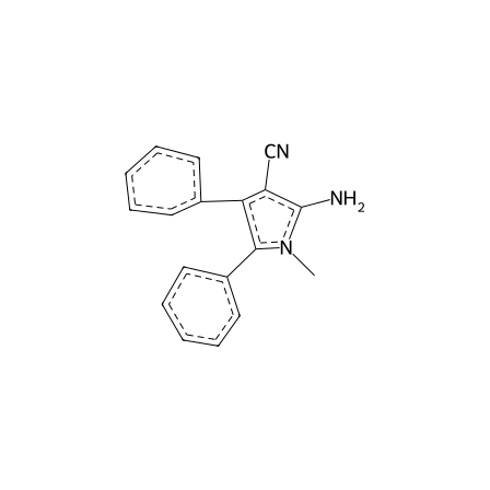 Cn1c(N)c(C#N)c(-c2ccccc2)c1-c1ccccc1